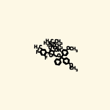 COc1ccc(C(OC[C@H]2O[C@@H](c3cc(C)c(F)cc3F)[C@@H](O[Si](C)(C)C(C)(C)C)C2O)(c2ccccc2)c2ccc(OC)cc2)cc1